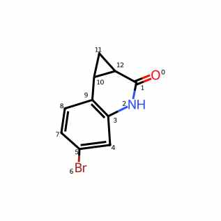 O=C1Nc2cc(Br)ccc2C2CC12